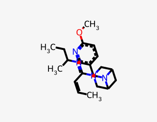 C/C=C\C(=N/C(C)CC)N1CC2CC(C1)N2Cc1ccc(OC)nc1